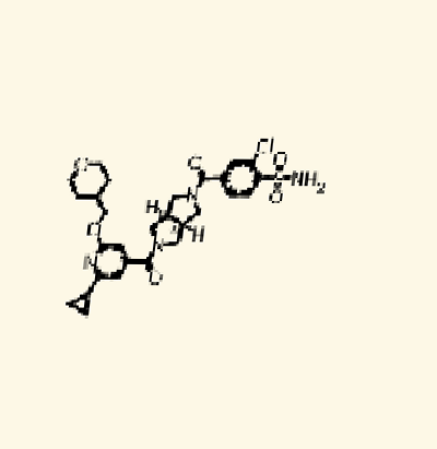 NS(=O)(=O)c1ccc(C(=O)N2C[C@@H]3CN(C(=O)c4cc(OCC5CCOCC5)nc(C5CC5)c4)C[C@H]3C2)cc1Cl